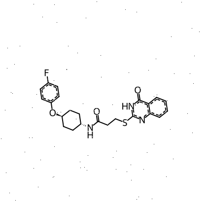 O=C(CCSc1nc2ccccc2c(=O)[nH]1)N[C@H]1CC[C@H](Oc2ccc(F)cc2)CC1